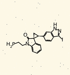 O=C1N(CCP)c2ccccc2[C@]12C[C@H]2c1ccc2c(I)n[nH]c2c1